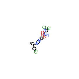 CC1(C)CCC(CN2CCN(c3ccc(S(=O)(=O)NC(=O)c4ccc(Cl)c(Cl)n4)cc3)CC2)=C(c2ccc(Cl)cc2)C1